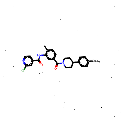 COc1ccc(C2CCN(C(=O)c3ccc(C)c(NC(=O)c4ccnc(Cl)c4)c3)CC2)cc1